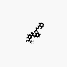 CC1CCCC(C)N1CCCCCN1C(=O)C(c2cccc(C(=N)NO)c2)Sc2ccccc21